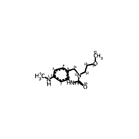 CNc1ccc2c(c1)NC(=O)N(CCOC)C2